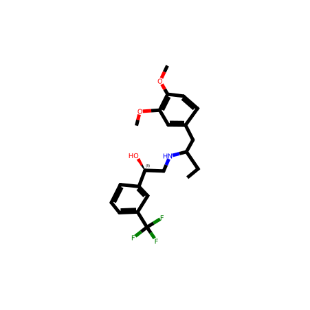 CCC(Cc1ccc(OC)c(OC)c1)NC[C@H](O)c1cccc(C(F)(F)F)c1